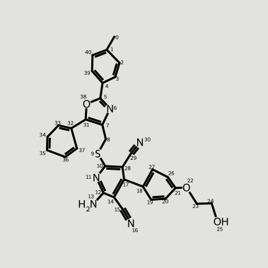 Cc1ccc(-c2nc(CSc3nc(N)c(C#N)c(-c4ccc(OCCO)cc4)c3C#N)c(-c3ccccc3)o2)cc1